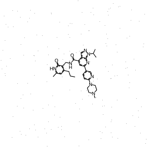 CCCc1cc(C)[nH]c(=O)c1CNC(=O)c1cc(-c2ccc(N3CCN(C)CC3)nc2)nc2c1cnn2C(C)C